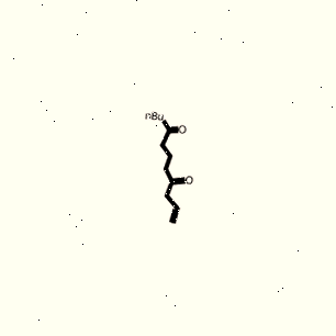 C=CCC(=O)CCCC(=O)CCCC